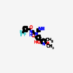 COc1ncc(C2(O)CCC(N(C(=O)CNC(=O)c3cccc(C(F)(F)F)c3)C3CNC3)CC2)cc1C